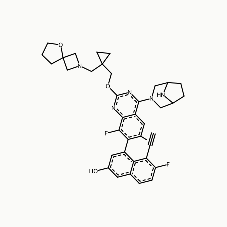 C#Cc1c(F)ccc2cc(O)cc(-c3c(C)cc4c(N5CC6CCC(C5)N6)nc(OCC5(CN6CC7(CCCO7)C6)CC5)nc4c3F)c12